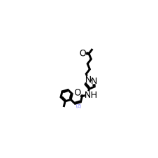 CC(=O)CCCCn1cc(NC(=O)/C=C\c2ccccc2C)cn1